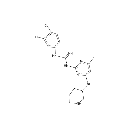 Cc1cc(N[C@H]2CCCNC2)nc(NC(=N)Nc2ccc(Cl)c(Cl)c2)n1